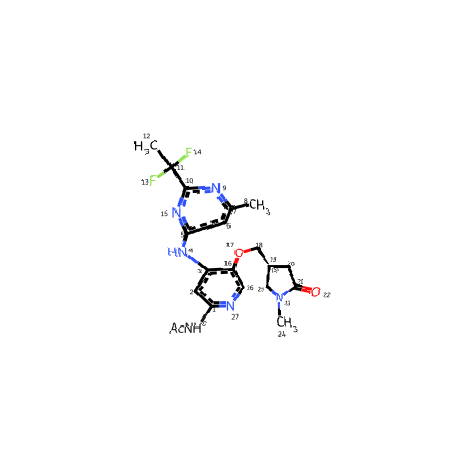 CC(=O)Nc1cc(Nc2cc(C)nc(C(C)(F)F)n2)c(OC[C@H]2CC(=O)N(C)C2)cn1